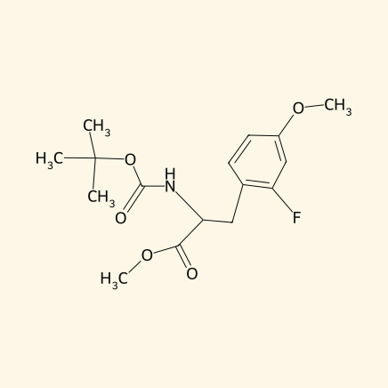 COC(=O)C(Cc1ccc(OC)cc1F)NC(=O)OC(C)(C)C